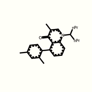 CCCC(CCC)n1cc(C)c(=O)c2c(-c3ccc(C)cc3C)cccc21